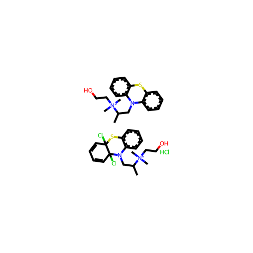 CC(CN1c2ccccc2SC2(Cl)C=CC=CC12Cl)[N+](C)(C)CCO.CC(CN1c2ccccc2Sc2ccccc21)[N+](C)(C)CCO.Cl